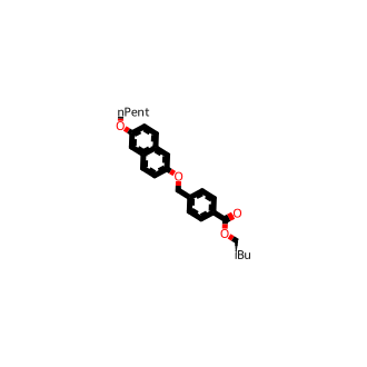 CCCCCOc1ccc2cc(OCc3ccc(C(=O)OC[C@H](C)CC)cc3)ccc2c1